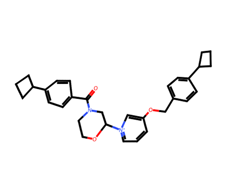 O=C(c1ccc(C2CCC2)cc1)N1CCOC([n+]2cccc(OCc3ccc(C4CCC4)cc3)c2)C1